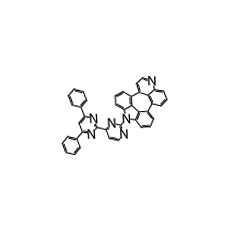 c1ccc(-c2cc(-c3ccccc3)nc(-c3ccnc(-n4c5cccc6c5c5c(cccc54)-c4ccnc5cccc-6c45)n3)n2)cc1